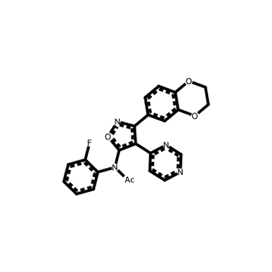 CC(=O)N(c1ccccc1F)c1onc(-c2ccc3c(c2)OCCO3)c1-c1ccncn1